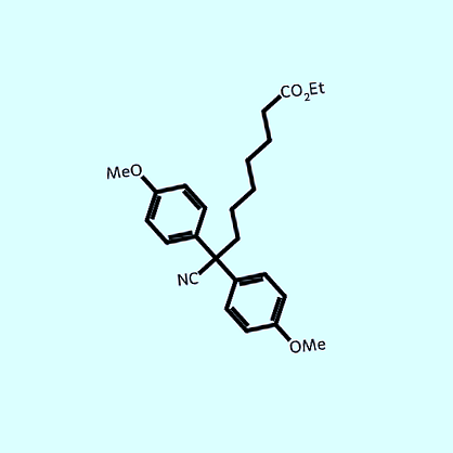 CCOC(=O)CCCCCCC(C#N)(c1ccc(OC)cc1)c1ccc(OC)cc1